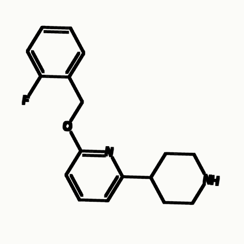 Fc1ccccc1COc1cccc(C2CCNCC2)n1